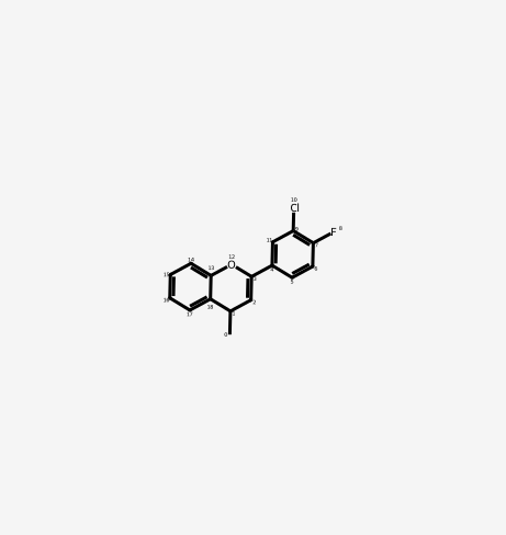 CC1C=C(c2ccc(F)c(Cl)c2)Oc2ccccc21